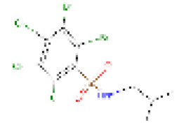 CC(C)CNS(=O)(=O)c1c(Cl)c(Cl)c(Cl)c(Br)c1Br